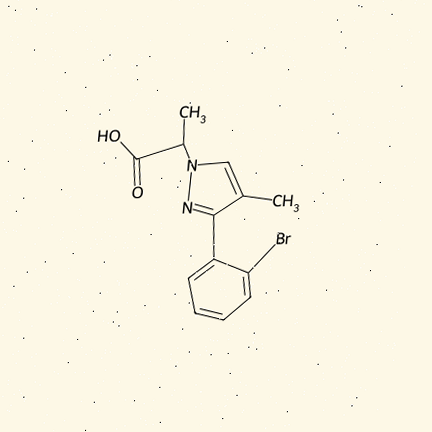 Cc1cn(C(C)C(=O)O)nc1-c1ccccc1Br